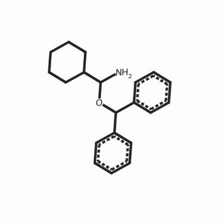 NC(OC(c1ccccc1)c1ccccc1)C1CCCCC1